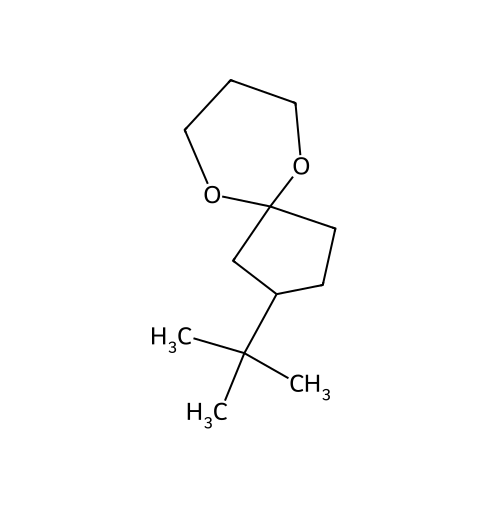 CC(C)(C)C1CCC2(C1)OCCCO2